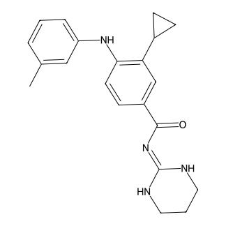 Cc1cccc(Nc2ccc(C(=O)N=C3NCCCN3)cc2C2CC2)c1